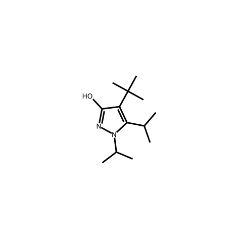 CC(C)c1c(C(C)(C)C)c(O)nn1C(C)C